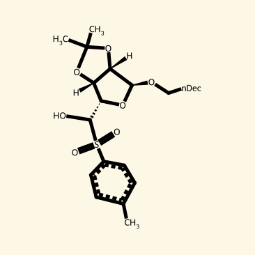 CCCCCCCCCCCO[C@H]1O[C@H](C(O)S(=O)(=O)c2ccc(C)cc2)[C@@H]2OC(C)(C)O[C@H]12